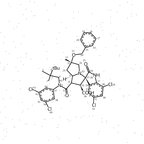 CC(C)(C)C(C)(C)CN(C(=O)C1[C@H]2C[C@](C)(OCc3ccccc3)CN2[C@]2(C(=O)Nc3c(Cl)cc(Cl)cc32)[C@H]1C(=O)O)c1cc(Cl)cc(Cl)c1